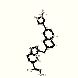 CON=C(C)c1ccc2nnc(Cc3ccc4ncc(-c5cnn(C)c5)cc4c3)n2n1